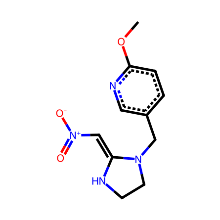 COc1ccc(CN2CCNC2=C[N+](=O)[O-])cn1